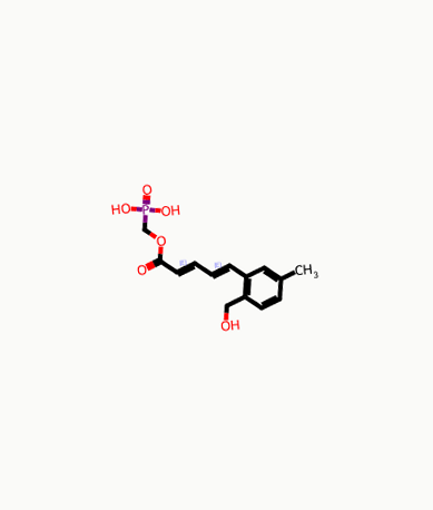 Cc1ccc(CO)c(/C=C/C=C/C(=O)OCP(=O)(O)O)c1